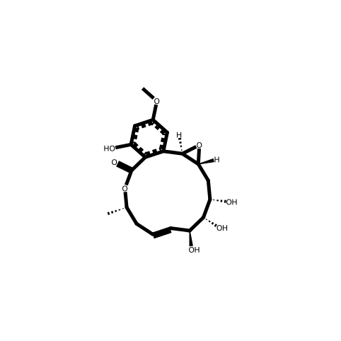 COc1cc(O)c2c(c1)[C@H]1O[C@@H]1C[C@H](O)[C@H](O)[C@@H](O)/C=C/C[C@H](C)OC2=O